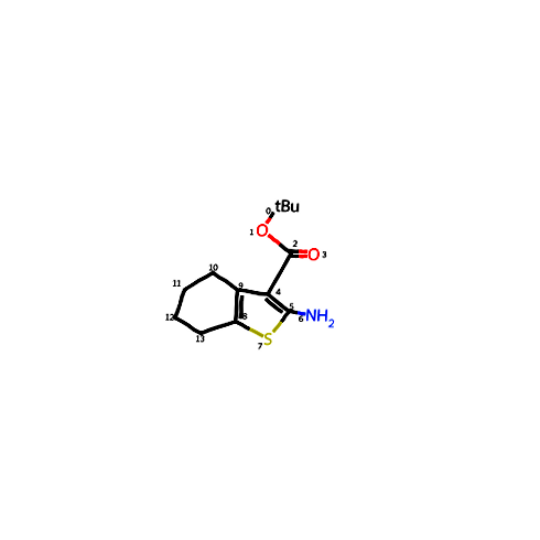 CC(C)(C)OC(=O)c1c(N)sc2c1CCCC2